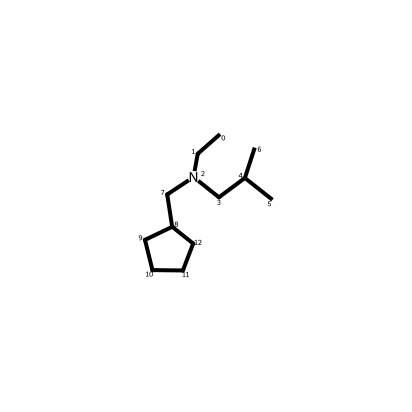 CCN(CC(C)C)CC1CCCC1